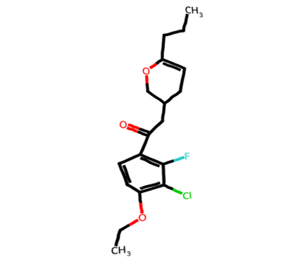 CCCC1=CCC(CC(=O)c2ccc(OCC)c(Cl)c2F)CO1